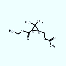 CCOC(=O)[C@@H]1[C@H](COC(C)=O)C1(C)C